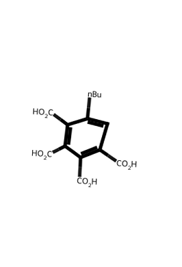 CCCCc1cc(C(=O)O)c(C(=O)O)c(C(=O)O)c1C(=O)O